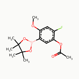 COc1cc(F)c(OC(C)=O)cc1B1OC(C)(C)C(C)(C)O1